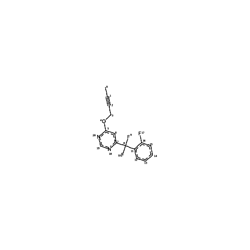 CC#CCOc1cc(C(F)(F)c2ccccc2F)ncn1